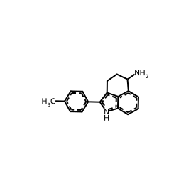 Cc1ccc(-c2[nH]c3cccc4c3c2CCC4N)cc1